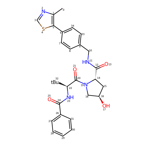 Cc1ncsc1-c1ccc(CNC(=O)[C@@H]2C[C@@H](O)CN2C(=O)[C@@H](NC(=O)c2ccccc2)C(C)(C)C)cc1